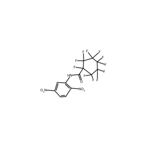 O=C(Nc1cc([N+](=O)[O-])ccc1[N+](=O)[O-])C1(F)C(F)(F)C(F)(F)C(F)(F)C(F)(F)C1(F)F